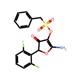 NC1=C(OS(=O)(=O)Cc2ccccc2)C(=O)C(c2c(F)cccc2F)O1